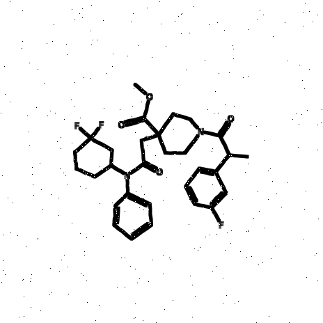 COC(=O)C1(CC(=O)N(c2ccccc2)C2CCCC(F)(F)C2)CCN(C(=O)C(C)c2cccc(F)c2)CC1